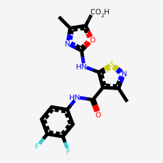 Cc1nc(Nc2snc(C)c2C(=O)Nc2ccc(F)c(F)c2)oc1C(=O)O